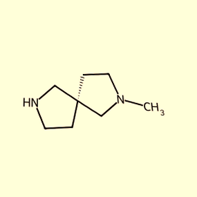 CN1CC[C@@]2(CCNC2)C1